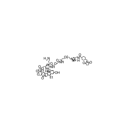 CCc1c2c(nc3ccc(O)cc13)-c1cc3c(c(=O)n1C2)COC(=O)C3(CC)OC(=O)OCC(NC(=O)C(CCCCN)NC(=O)COCC(=O)NC(C)(C)CCOC(C)(C)CCn1cc(CNC(=O)C2CCC(CN3C(=O)CCC3=O)CC2)nn1)C(C)C